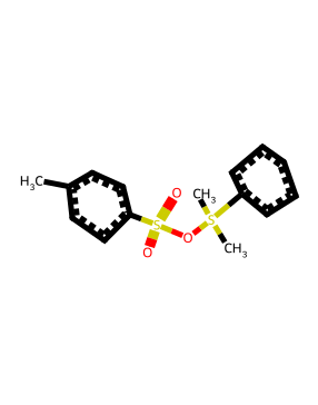 Cc1ccc(S(=O)(=O)OS(C)(C)c2ccccc2)cc1